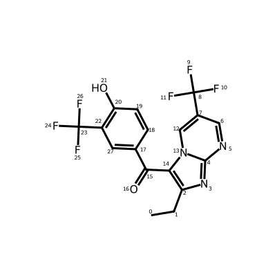 CCc1nc2ncc(C(F)(F)F)cn2c1C(=O)c1ccc(O)c(C(F)(F)F)c1